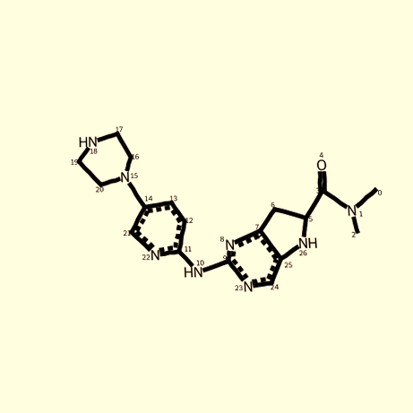 CN(C)C(=O)C1Cc2nc(Nc3ccc(N4CCNCC4)cn3)ncc2N1